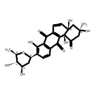 C[C@H]1O[C@@H](c2ccc3c(c2O)C(=O)C2=C(C3=O)[C@@]3(O)C(=O)C[C@](C)(O)C[C@@]3(O)C=C2)C[C@@H](O)[C@@H]1O